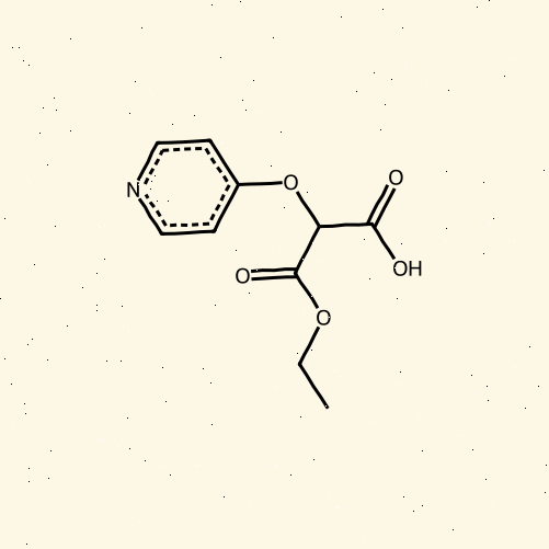 CCOC(=O)C(Oc1ccncc1)C(=O)O